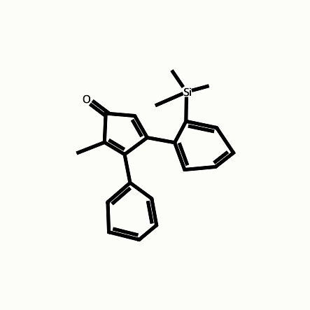 CC1=C(c2ccccc2)C(c2ccccc2[Si](C)(C)C)=CC1=O